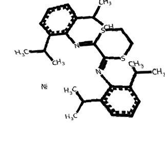 CC(C)c1cccc(C(C)C)c1N=C1SCCSC1=Nc1c(C(C)C)cccc1C(C)C.[Ni]